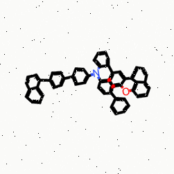 c1ccc(-c2ccc(N(c3ccc(-c4ccc(-c5cccc6ccccc56)cc4)cc3)c3ccccc3-c3ccc4c(c3)-c3cccc5cccc(c35)O4)cc2)cc1